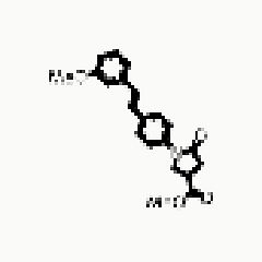 COC(=O)C1CC(=O)N(c2ccc(C=Cc3cccc(OC)c3)cc2)C1